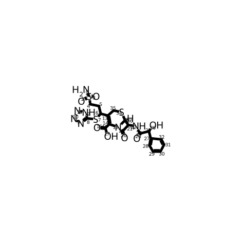 NS(=O)(=O)CCC(Sc1nnn[nH]1)C1=C(C(=O)O)N2C(=O)C(NC(=O)C(O)c3ccccc3)[C@@H]2SC1